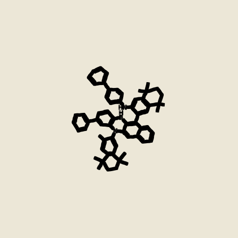 Cc1cc2c(cc1N1c3cc(-c4ccccc4)ccc3Bc3c1cc1ccccc1c3-c1cc3c(cc1Nc1ccc(-c4ccccc4)cc1)C(C)(C)CCC3(C)C)C(C)(C)CCC2(C)C